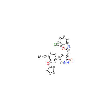 COc1ccc([C@H]2CNC(=O)[C@H](Cc3nc4cccc(Cl)c4o3)C2)cc1OC1CCCC1